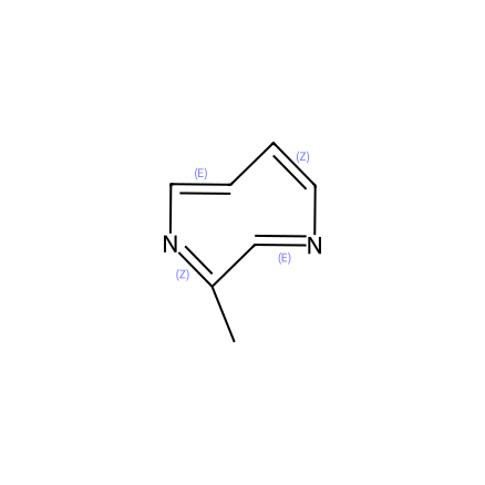 CC1=N/C=C/C=C\N=C\1